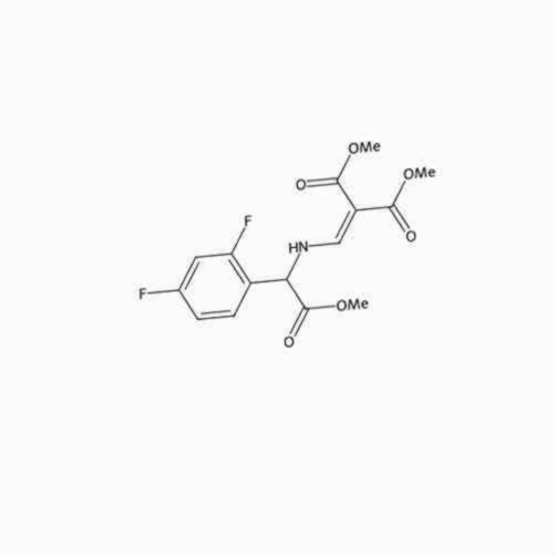 COC(=O)C(=CNC(C(=O)OC)c1ccc(F)cc1F)C(=O)OC